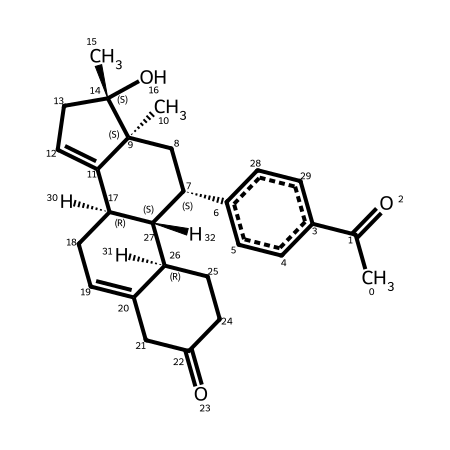 CC(=O)c1ccc([C@H]2C[C@@]3(C)C(=CC[C@]3(C)O)[C@@H]3CC=C4CC(=O)CC[C@@H]4[C@@H]23)cc1